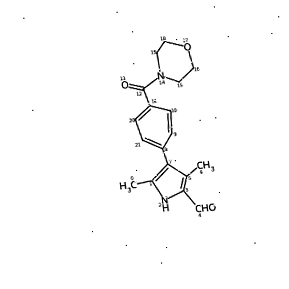 Cc1[nH]c(C=O)c(C)c1-c1ccc(C(=O)N2CCOCC2)cc1